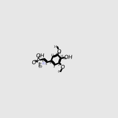 COc1cc(/C=C/P(=O)(O)F)cc(OC)c1O